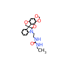 CCNC(=O)NCCN1C(=O)C2(COc3cc4c(cc32)OCO4)c2ccccc21